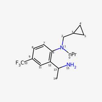 CCCN(CC1CC1)c1ccc(C(F)(F)F)cc1C(C)N